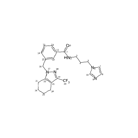 O=C(NCCCn1ccnc1)c1cccc(Cn2nc(C(F)(F)F)c3c2CCCC3)c1